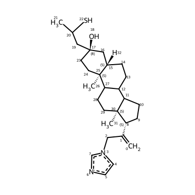 C=C(Cn1ccnc1)[C@H]1CCC2C3CC[C@H]4C[C@@](O)(CC(C)S)CC[C@]4(C)C3CC[C@@]21C